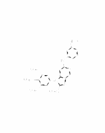 CNc1nc2cnc(Nc3cccc(NC(C)=O)c3)cc2n1-c1cc(OC)c(OC)c(OC)c1